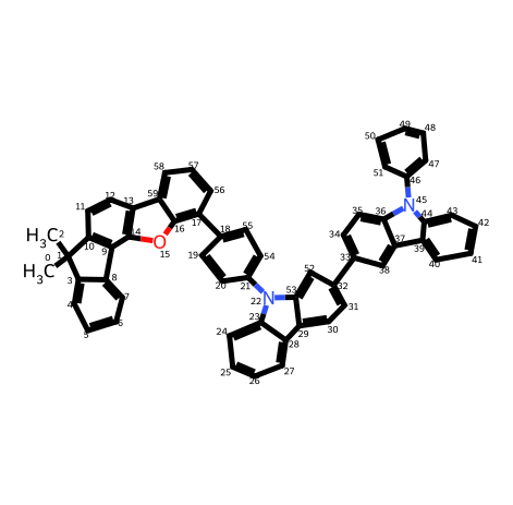 CC1(C)c2ccccc2-c2c1ccc1c2oc2c(-c3ccc(-n4c5ccccc5c5ccc(-c6ccc7c(c6)c6ccccc6n7-c6ccccc6)cc54)cc3)cccc21